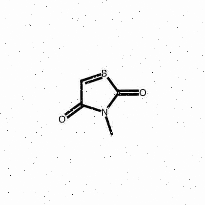 CN1C(=O)B=CC1=O